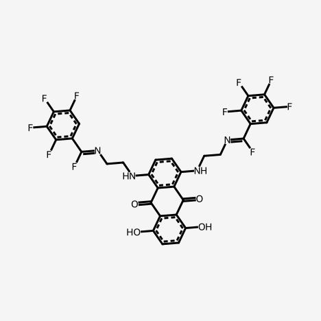 O=C1c2c(O)ccc(O)c2C(=O)c2c(NCCN=C(F)c3cc(F)c(F)c(F)c3F)ccc(NCCN=C(F)c3cc(F)c(F)c(F)c3F)c21